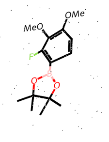 COc1ccc(B2OC(C)(C)C(C)(C)O2)c(F)c1OC